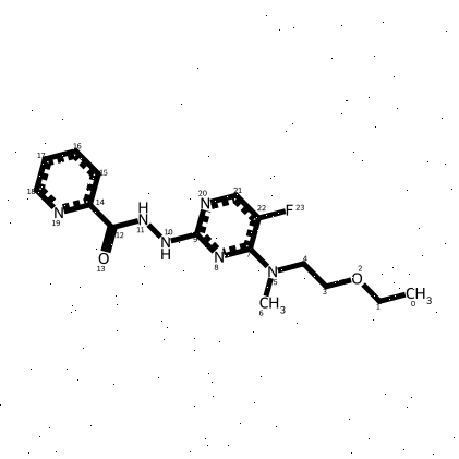 CCOCCN(C)c1nc(NNC(=O)c2ccccn2)ncc1F